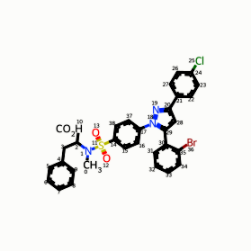 CN(C(Cc1ccccc1)C(=O)O)S(=O)(=O)c1ccc(-n2nc(-c3ccc(Cl)cc3)cc2-c2ccccc2Br)cc1